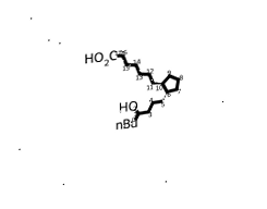 CCCCC(O)CCC[C@H]1CCC[C@@H]1CCCCCCC(=O)O